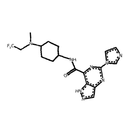 CN(CC(F)(F)F)C1CCC(NC(=O)c2nc(-n3ccnc3)nc3cn[nH]c23)CC1